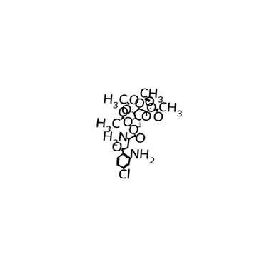 CC(=O)O[C@@H]1O[C@H](COC(=O)C(N)CC(=O)c2ccc(Cl)cc2N)[C@@H](OC(C)=O)[C@H](OC(C)=O)[C@H]1OC(C)=O